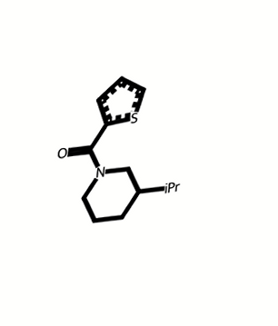 CC(C)C1CCCN(C(=O)c2cccs2)C1